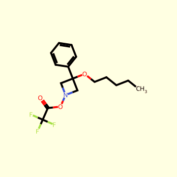 CCCCCOC1(c2ccccc2)CN(OC(=O)C(F)(F)F)C1